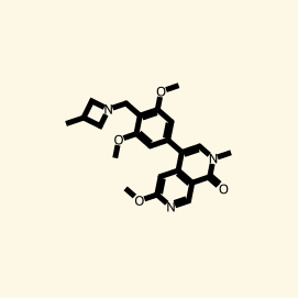 COc1cc2c(-c3cc(OC)c(CN4CC(C)C4)c(OC)c3)cn(C)c(=O)c2cn1